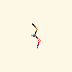 CSBOI